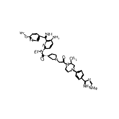 CCN(C(=O)[C@@H]1CCN(CC(=O)N2CCN(c3ccc(C(=N)/N=C\NC)cc3)CC2C)C1)c1ccc(N)c(C(=N)c2ccc(OC(C)C)nc2)n1